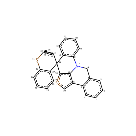 c1ccc2c(c1)CN1c3ccccc3C3(c4ccccc4Sc4ccccc43)c3scc-2c31